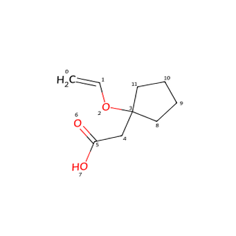 C=COC1(CC(=O)O)CCCC1